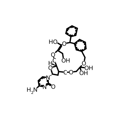 Nc1ccn([C@H]2CC3COCC(O)(O)OCc4cccc(c4)C(c4ccccc4)O/C(O)=C(\CO)OC[C@H]3O2)c(=O)n1